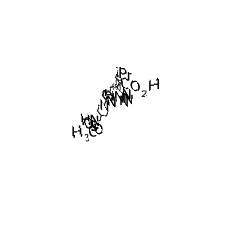 CC(C)C[C@H](C(=O)O)[C@H](Cc1ccc(N2CCC(CNS(C)(=O)=O)CC2)nc1)c1nnn[nH]1